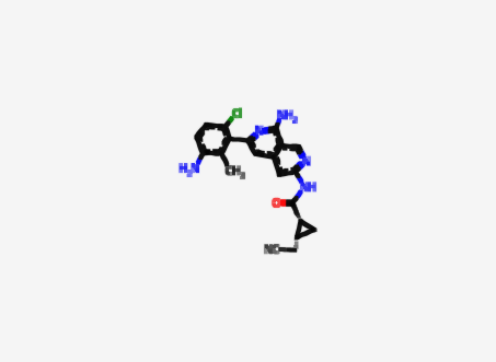 Cc1c(N)ccc(Cl)c1-c1cc2cc(NC(=O)[C@H]3C[C@@H]3CC#N)ncc2c(N)n1